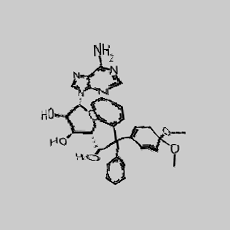 COC1(OC)C=CC(C(c2ccccc2)(c2ccccc2)C(O)[C@H]2O[C@@H](n3cnc4c(N)ncnc43)[C@H](O)[C@@H]2O)=CC1